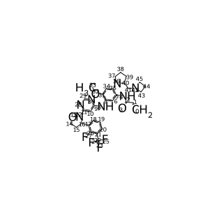 C=CC(=O)Nc1cc(Nc2cc(N3OCCC3c3cccc(C(F)(F)F)c3F)ncn2)c(OC)cc1N1CCCC1CN1CCC1